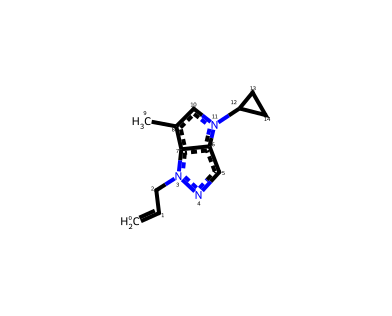 C=CCn1ncc2c1c(C)cn2C1CC1